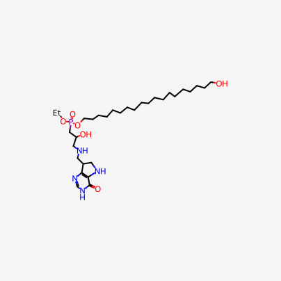 CCOP(=O)(CC(O)CNCC1CNc2c1nc[nH]c2=O)OCCCCCCCCCCCCCCCCCCCO